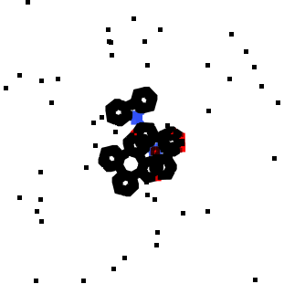 c1ccc2c(c1)-c1ccccc1-c1cccc(-n3c4ccccc4c4cc(-n5c6ccccc6c6ccccc65)ccc43)c1-c1c-2cccc1-n1c2ccccc2c2ccccc21